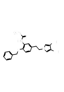 CNC(=O)Nc1cc(CCn2cc(C)c(C)c2)ccc1OCc1ccccc1